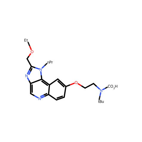 CCCn1c(COCC)nc2cnc3ccc(OCCN(C(=O)O)C(C)(C)C)cc3c21